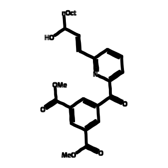 CCCCCCCCC(O)C=Cc1cccc(C(=O)c2cc(C(=O)OC)cc(C(=O)OC)c2)n1